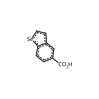 O=C(O)c1ccc2[se]ccc2c1